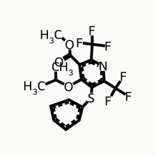 COC(=O)c1c(C(F)(F)F)nc(C(F)(F)F)c(Sc2ccccc2)c1OC(C)C